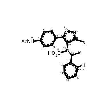 CC(=O)Nc1ccc(-c2onc(C)c2N(C(=O)O)C(C)c2ccccc2Cl)cc1